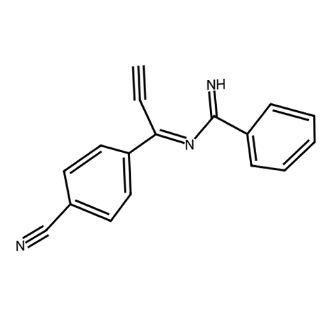 C#C/C(=N\C(=N)c1ccccc1)c1ccc(C#N)cc1